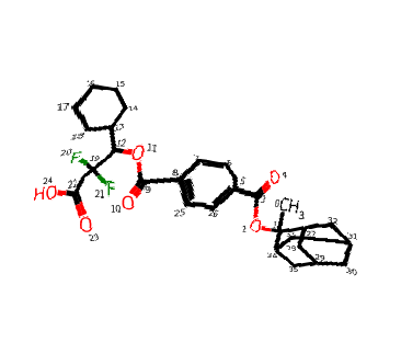 CC1(OC(=O)c2ccc(C(=O)OC(C3CCCCC3)C(F)(F)C(=O)O)cc2)C2CC3CC(C2)CC1C3